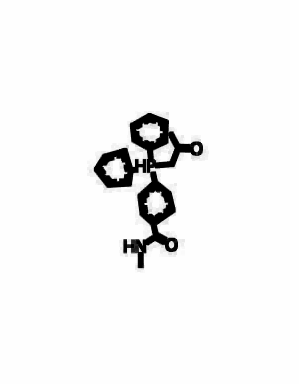 CNC(=O)c1ccc([PH](CC(C)=O)(c2ccccc2)c2ccccc2)cc1